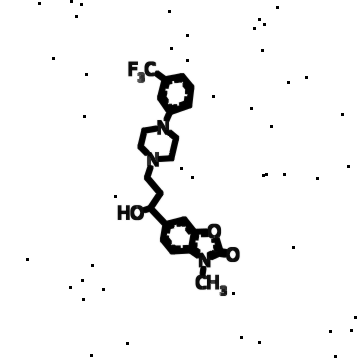 Cn1c(=O)oc2cc(C(O)CCN3CCN(c4cccc(C(F)(F)F)c4)CC3)ccc21